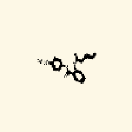 CC=CCC(C)Oc1ccccc1C(=O)Oc1ccc(OC)cc1